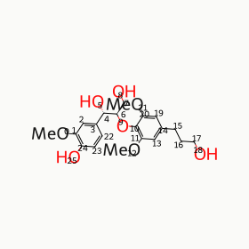 COc1cc([C@H](O)[C@@H](CO)Oc2c(OC)cc(CCCO)cc2OC)ccc1O